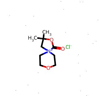 CC1(C)C[N+]2(CCOCC2)C(=O)O1.[Cl-]